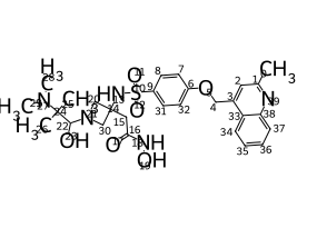 Cc1cc(COc2ccc(S(=O)(=O)NC3(CC(=O)NO)CN(C(O)C(C)(C)N(C)C)C3)cc2)c2ccccc2n1